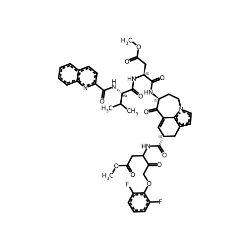 COC(=O)CC(NC(=O)[C@@H]1C=C2C(=O)[C@@H](NC(=O)[C@H](CC(=O)OC)NC(=O)[C@@H](NC(=O)c3ccc4ccccc4n3)C(C)C)CCn3ccc(c32)C1)C(=O)COc1c(F)cccc1F